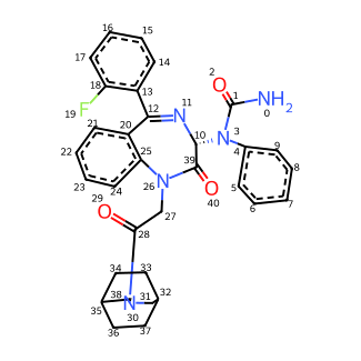 NC(=O)N(c1ccccc1)[C@H]1N=C(c2ccccc2F)c2ccccc2N(CC(=O)N2CC3CCC(CC3)C2)C1=O